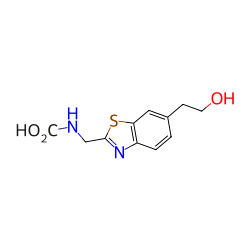 O=C(O)NCc1nc2ccc(CCO)cc2s1